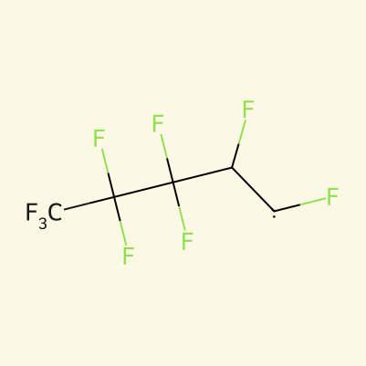 F[CH]C(F)C(F)(F)C(F)(F)C(F)(F)F